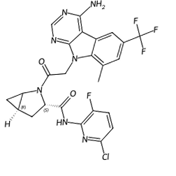 Cc1cc(C(F)(F)F)cc2c3c(N)ncnc3n(CC(=O)N3C4C[C@@H]4C[C@H]3C(=O)Nc3nc(Cl)ccc3F)c12